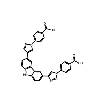 O=C(O)c1ccc(-n2cc(-c3ccc4[nH]c5ccc(-c6cn(-c7ccc(C(=O)O)cc7)nn6)cc5c4c3)nn2)cc1